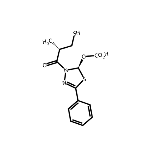 C[C@H](CS)C(=O)N1N=C(c2ccccc2)S[C@@H]1OC(=O)O